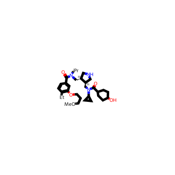 CCc1ccc(C(=O)N(C[C@@H]2CNC[C@H]2CN(C(=O)C2CCC(O)CC2)C2CC2)C(C)C)cc1OCCCOC